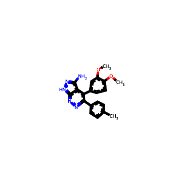 COc1ccc(-c2c(-c3ccc(C)cc3)nnc3[nH]nc(N)c23)cc1OC